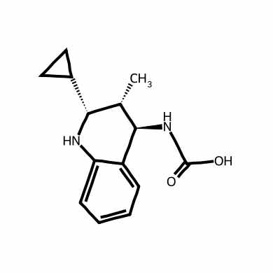 C[C@H]1[C@@H](C2CC2)Nc2ccccc2[C@@H]1NC(=O)O